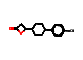 N#Cc1ccc(C2CCC(C3CC(=O)O3)CC2)cc1